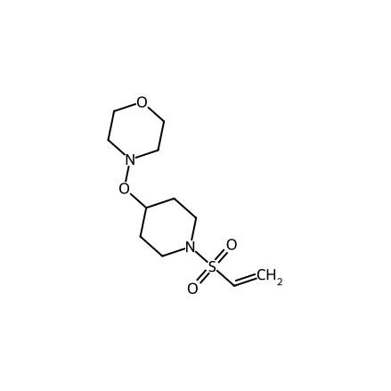 C=CS(=O)(=O)N1CCC(ON2CCOCC2)CC1